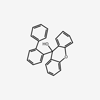 OC1(c2ccccc2-c2ccccc2)c2ccccc2Oc2ccccc21